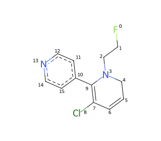 FCCN1CC=CC(Cl)=C1c1ccncc1